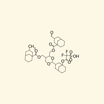 CC1CC2CCCC(C(=O)OCC3COC(C4CC5CCCC(OC(=O)C(F)(F)S(=O)(=O)O)(C5)C4)OC3COC(=O)C34CCCC(CC(C=O)C3)C4)(C1)C2